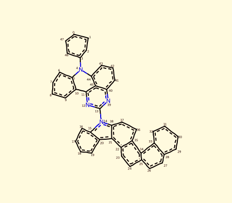 c1ccc(N2c3ccccc3-c3nc(-n4c5ccccc5c5c6ccc7ccc8ccccc8c7c6ccc54)nc4cccc2c34)cc1